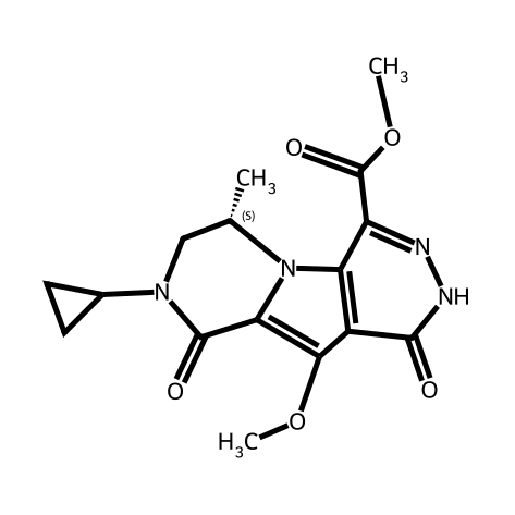 COC(=O)c1n[nH]c(=O)c2c(OC)c3n(c12)[C@@H](C)CN(C1CC1)C3=O